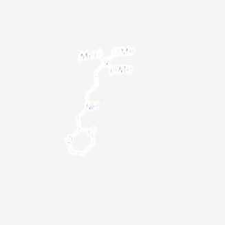 CO[Si](CCCNCC1OCCCO1)(OC)OC